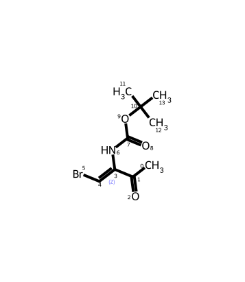 CC(=O)/C(=C/Br)NC(=O)OC(C)(C)C